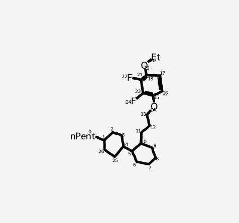 CCCCCC1CCC(C2CCCCC2CCCOc2ccc(OCC)c(F)c2F)CC1